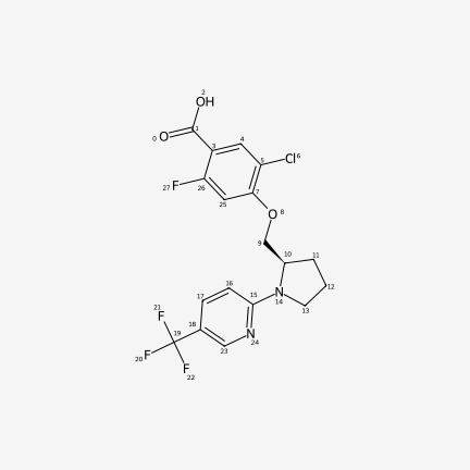 O=C(O)c1cc(Cl)c(OC[C@H]2CCCN2c2ccc(C(F)(F)F)cn2)cc1F